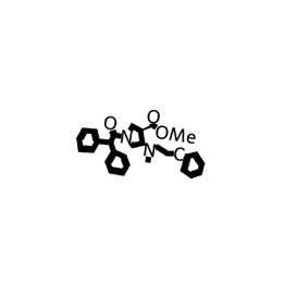 COC(=O)[C@@H]1CN(C(=O)C(c2ccccc2)c2ccccc2)C[C@H]1N(C)CCCc1ccccc1